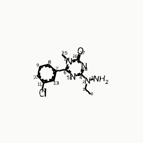 CCN(N)c1nc(-c2cccc(Cl)c2)n(C)c(=O)n1